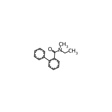 CCN(C)C(=O)c1ccccc1-c1ccccc1